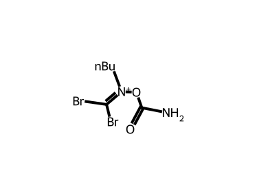 CCCC[N+](OC(N)=O)=C(Br)Br